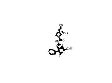 COc1nc(F)c(C2CCOCC2)c2sc(NC(=O)N3CC[C@@](CO)(CCO)C3)nc12